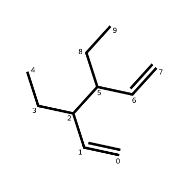 C=CC(CC)C(C=C)CC